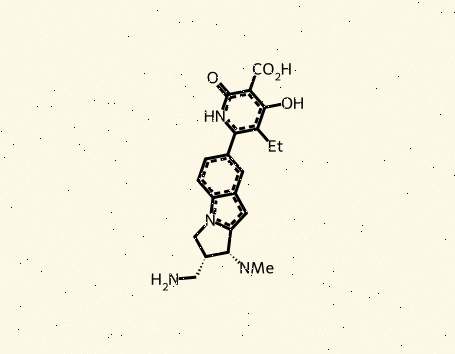 CCc1c(-c2ccc3c(c2)cc2n3C[C@@H](CN)[C@H]2NC)[nH]c(=O)c(C(=O)O)c1O